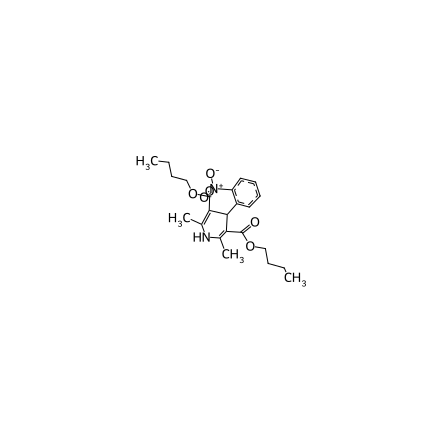 CCCCOC(=O)C1=C(C)NC(C)=C(C(=O)OCCCC)C1c1ccccc1[N+](=O)[O-]